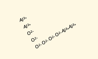 [Al+3].[Al+3].[Al+3].[Al+3].[O-2].[O-2].[O-2].[O-2].[O-2].[O-2]